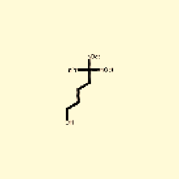 CCCCCCCCC(CCC)(CCCCO)CCCCCCCC